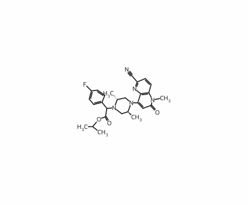 CC(C)OC(=O)C(c1ccc(F)cc1)N1C[C@H](C)N(c2cc(=O)n(C)c3ccc(C#N)nc23)C[C@H]1C